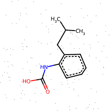 CC(C)Cc1ccccc1NC(=O)O